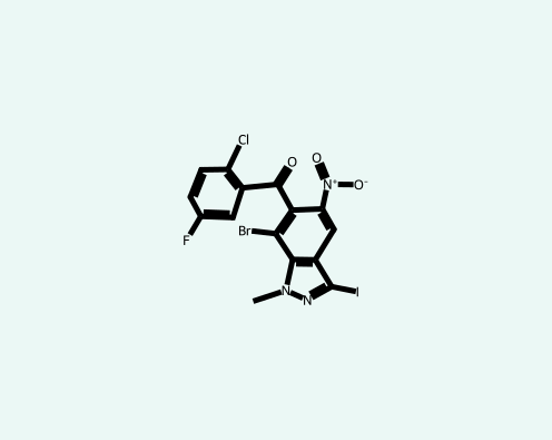 Cn1nc(I)c2cc([N+](=O)[O-])c(C(=O)c3cc(F)ccc3Cl)c(Br)c21